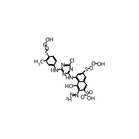 [2H]N=Nc1c(S(=O)(=O)O)cc2cc(SOOO)cc(Nc3nc(Cl)nc(Nc4ccc(SOOO)c(C)c4)n3)c2c1O